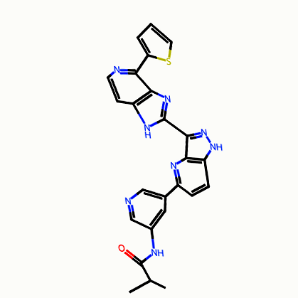 CC(C)C(=O)Nc1cncc(-c2ccc3[nH]nc(-c4nc5c(-c6cccs6)nccc5[nH]4)c3n2)c1